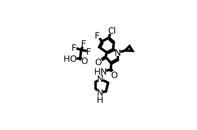 O=C(NN1CCNCC1)c1cn(C2CC2)c2cc(Cl)c(F)cc2c1=O.O=C(O)C(F)(F)F